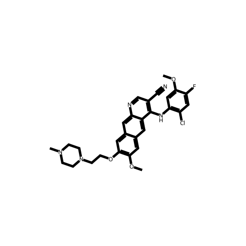 COc1cc(Nc2c(C#N)cnc3cc4cc(OCCN5CCN(C)CC5)c(OC)cc4cc23)c(Cl)cc1F